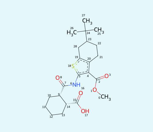 COC(=O)c1c(NC(=O)[C@H]2CCCC[C@H]2C(=O)O)sc2c1CCC(C(C)(C)C)C2